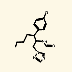 CCCCC(c1ccc(Cl)cc1)C(Cn1cncn1)NC=O